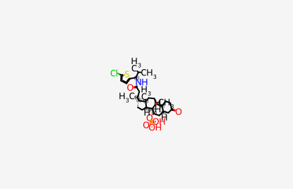 CC(C)[C@@H](NC(=O)C[C@@H](C)[C@H]1CC[C@H]2[C@@H]3[C@H](OP(=O)(O)O)C[C@@H]4CC(=O)CC[C@]4(C)[C@H]3CC[C@]12C)c1ccc(Cl)s1